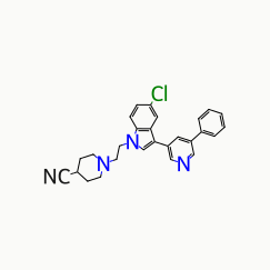 N#CC1CCN(CCn2cc(-c3cncc(-c4ccccc4)c3)c3cc(Cl)ccc32)CC1